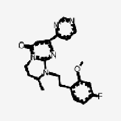 COc1cc(F)ccc1CCN1c2nc(-c3ccncn3)cc(=O)n2CCC1C